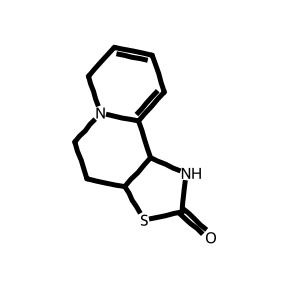 O=C1NC2C3=CC=CCN3CCC2S1